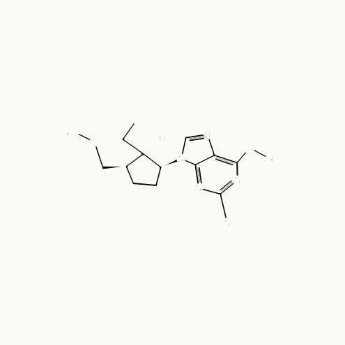 CCCCOC[C@@H]1[C@@H](C)C[C@H](n2cnc3c(OCCCC)nc(N)nc32)[C@]1(O)CO